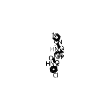 CN1CCc2nc(C(=O)NC(CNC(=O)C(=O)Nc3ccc(Cl)cc3F)C(=O)N(C)C)sc2C1